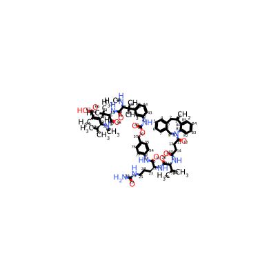 C=C1Cc2ccccc2CN(C(=O)CCC(=O)N[C@H](C(=O)N[C@@H](CCCNC(N)=O)C(=O)Nc2ccc(COC(=O)Nc3cccc(C(C)(C)C(NC)C(=O)N[C@H](C(=O)N(C)[C@H](/C=C(\C)C(=O)O)C(C)C)C(C)(C)C)c3)cc2)C(C)C)c2ccccc21